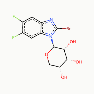 O[C@@H]1[C@H](O)[C@H](O)CO[C@H]1n1c(Br)nc2cc(F)c(F)cc21